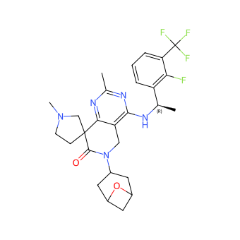 Cc1nc(N[C@H](C)c2cccc(C(F)(F)F)c2F)c2c(n1)C1(CCN(C)C1)C(=O)N(C1CC3CC(C1)O3)C2